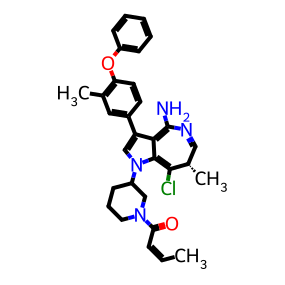 C/C=C\C(=O)N1CCCC(n2cc(-c3ccc(Oc4ccccc4)c(C)c3)c3c2=C(Cl)[C@@H](C)C=NC=3N)C1